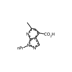 CCCn1ncc2c(C(=O)O)cc(C)nc21